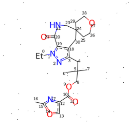 CCn1nc(CC(C)(C)COC(=O)c2coc(C)n2)c2c1C(=O)NCC1(CCOCC1)C2